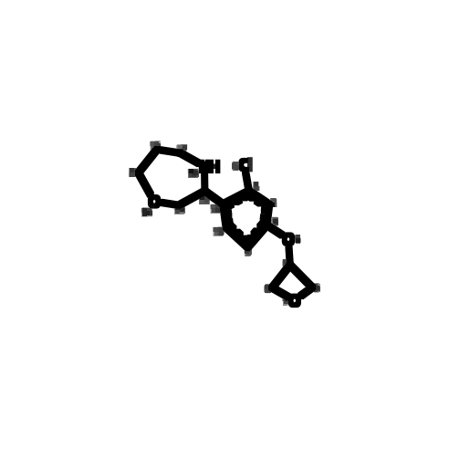 Clc1cc(OC2COC2)ccc1C1COCCCN1